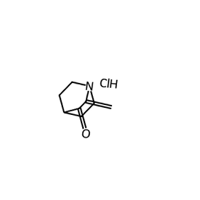 C=C1C(=O)C2CCN1CC2.Cl